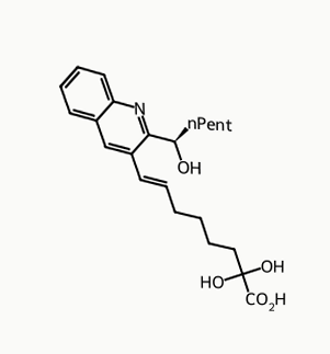 CCCCC[C@@H](O)c1nc2ccccc2cc1/C=C/CCCCC(O)(O)C(=O)O